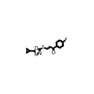 O=C(/C=C/Sc1nnc(C2CC2)o1)c1ccc(F)cc1